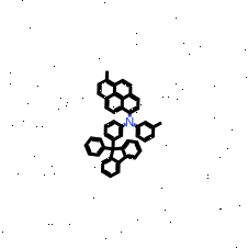 Cc1cccc(N(c2cccc(C3(c4ccccc4)c4ccccc4-c4ccccc43)c2)c2ccc3ccc4c(C)ccc5ccc2c3c54)c1